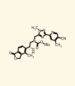 Cc1cc(-c2nc(CN(C[C@H](O)c3ccc4c(c3C)COC4=O)C(=O)OC(C)(C)C)n(C)n2)ncc1C#N